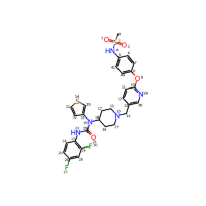 CS(=O)(=O)Nc1ccc(Oc2ccc(CN3CCC(N(C(=O)Nc4ccc(F)cc4F)c4ccsc4)CC3)cn2)cc1